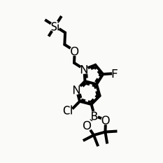 CC1(C)OB(c2cc3c(F)cn(COCC[Si](C)(C)C)c3nc2Cl)OC1(C)C